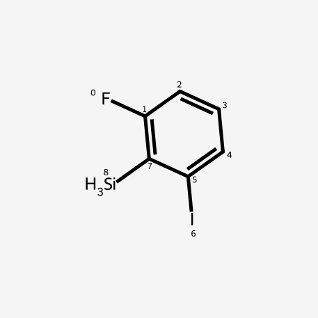 Fc1cccc(I)c1[SiH3]